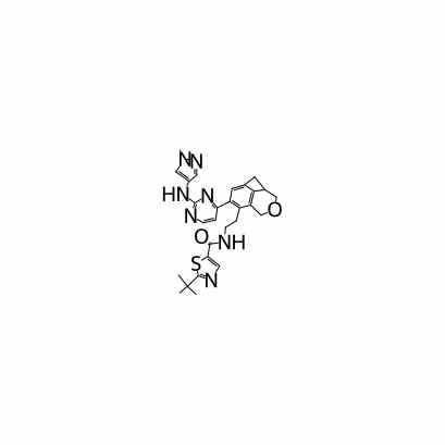 Cn1cc(Nc2nccc(-c3cc4c5c(c3CCNC(=O)c3cnc(C(C)(C)C)s3)COCC5C4)n2)cn1